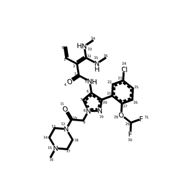 C=CC(C(=O)Nc1cn(CC(=O)N2CCN(C)CC2)nc1-c1cc(Cl)ccc1OC(F)F)=C(NC)NC